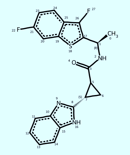 C[C@@H](NC(=O)C1C[C@@H]1c1nc2ccccc2[nH]1)c1sc2cc(F)ccc2c1F